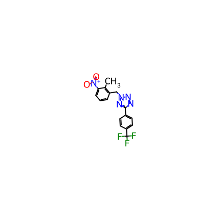 Cc1c(Cn2nnc(-c3ccc(C(F)(F)F)cc3)n2)cccc1[N+](=O)[O-]